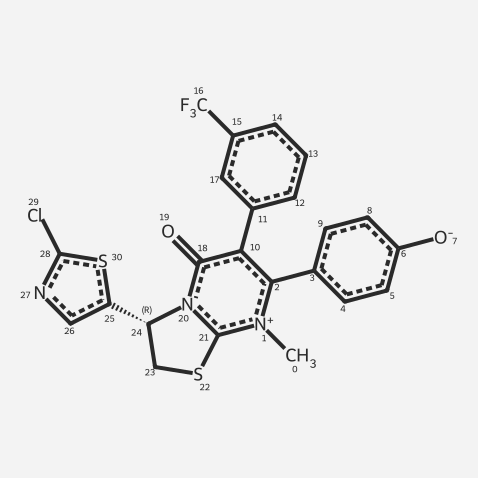 C[n+]1c(-c2ccc([O-])cc2)c(-c2cccc(C(F)(F)F)c2)c(=O)n2c1SC[C@@H]2c1cnc(Cl)s1